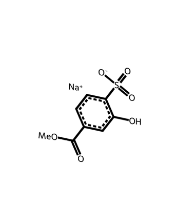 COC(=O)c1ccc(S(=O)(=O)[O-])c(O)c1.[Na+]